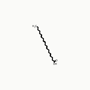 CCCCCC=CCC=CCC=CCCC=CCCC(=O)O